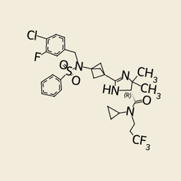 CC1(C)N=C(C23CC(N(Cc4ccc(Cl)c(F)c4)S(=O)(=O)c4ccccc4)(C2)C3)N[C@H]1C(=O)N(CCC(F)(F)F)C1CC1